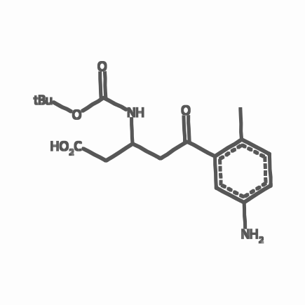 Cc1ccc(N)cc1C(=O)CC(CC(=O)O)NC(=O)OC(C)(C)C